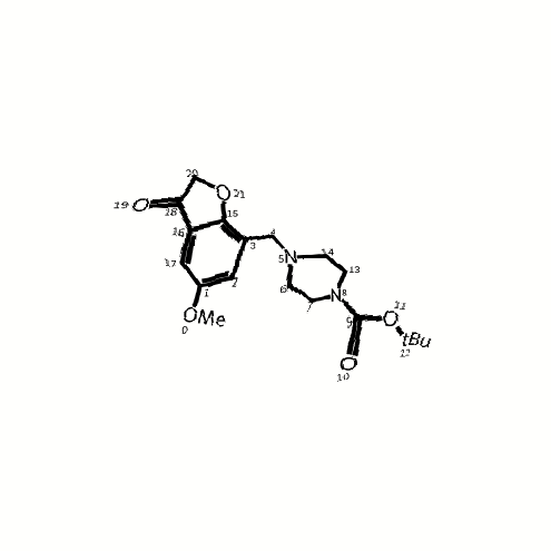 COc1cc(CN2CCN(C(=O)OC(C)(C)C)CC2)c2c(c1)C(=O)CO2